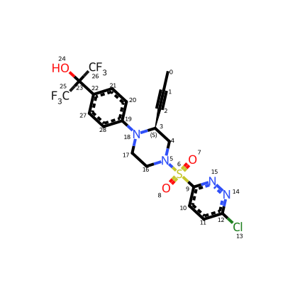 CC#C[C@H]1CN(S(=O)(=O)c2ccc(Cl)nn2)CCN1c1ccc(C(O)(C(F)(F)F)C(F)(F)F)cc1